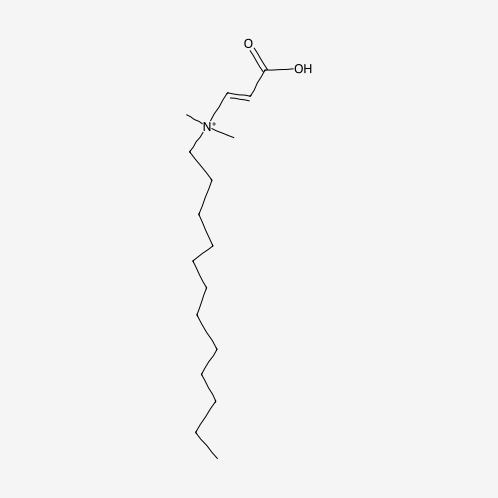 CCCCCCCCCCCC[N+](C)(C)/C=C/C(=O)O